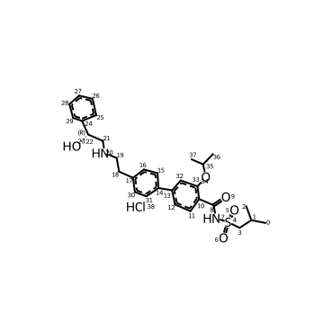 CC(C)CS(=O)(=O)NC(=O)c1ccc(-c2ccc(CCNC[C@H](O)c3ccccc3)cc2)cc1OC(C)C.Cl